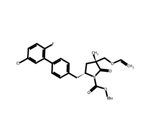 C=COC[C@@]1(C)C[C@@H](Cc2ccc(-c3cc(Cl)ccc3F)cc2)N(C(=O)OC(C)(C)C)C1=O